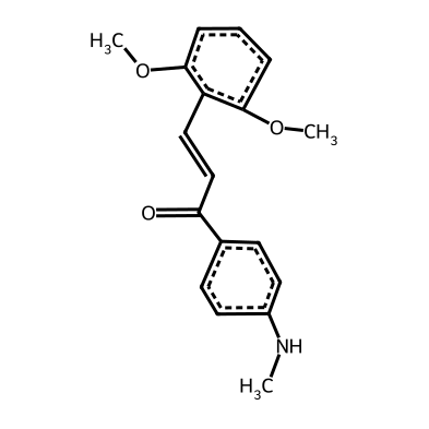 CNc1ccc(C(=O)C=Cc2c(OC)cccc2OC)cc1